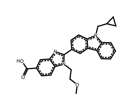 COCCn1c(-c2ccc3c(c2)c2ccccc2n3CC2CC2)nc2cc(C(=O)O)ccc21